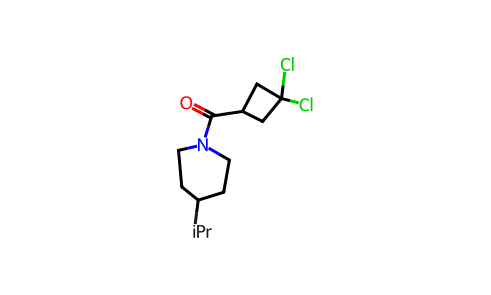 CC(C)C1CCN(C(=O)C2CC(Cl)(Cl)C2)CC1